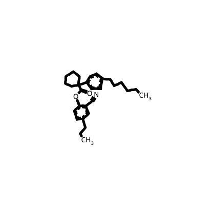 CCCCCCc1ccc(C2(C(=O)Oc3ccc(CCC)cc3C#N)CCCCC2)cc1